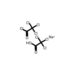 O=C(O)C(Cl)(Cl)Cl.O=C([O-])C(Cl)(Cl)Cl.[Na+]